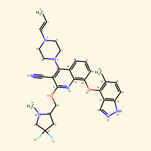 CC=CN1CCN(c2c(C#N)c(OCC3CC(F)(F)CN3C)nc3c(Oc4c(C)ccc5[nH]ncc45)cccc23)CC1